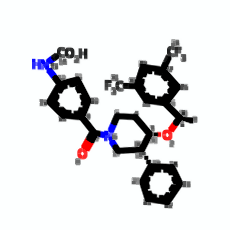 C[C@@H](O[C@H]1CCN(C(=O)c2ccc(NC(=O)O)cc2)C[C@H]1c1ccccc1)c1cc(C(F)(F)F)cc(C(F)(F)F)c1